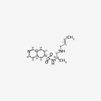 C/C=C/CNC[C@@H](C)NS(=O)(=O)c1ccc2cnccc2c1